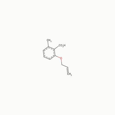 C=CCOc1cccc(C)c1C(=O)O